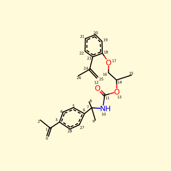 C=C(C)c1ccc(C(C)(C)NC(=O)OC(C)COc2ccccc2C(=C)C)cc1